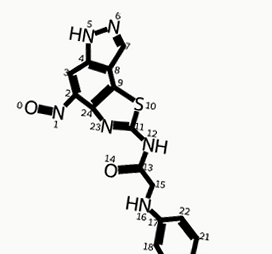 O=Nc1cc2[nH]ncc2c2sc(NC(=O)CNc3ccccc3)nc12